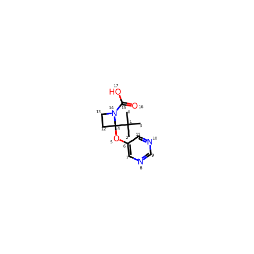 CC(C)(C)C1(Oc2cncnc2)CCN1C(=O)O